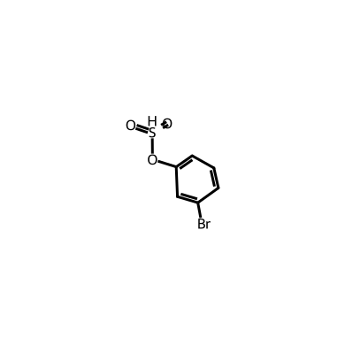 O=[SH](=O)Oc1cccc(Br)c1